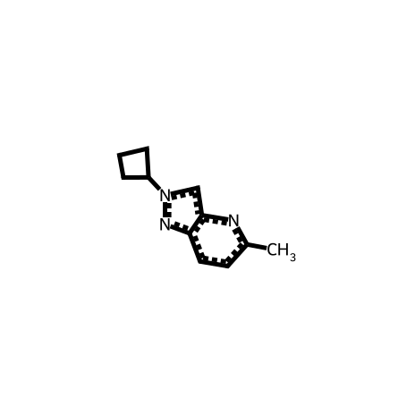 Cc1ccc2nn(C3CCC3)cc2n1